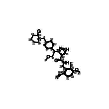 COCC(c1ccc(CN2CCCCC2=O)cc1)c1n[nH]cc1C(=O)NCc1c(C#N)ccc(OC)c1F